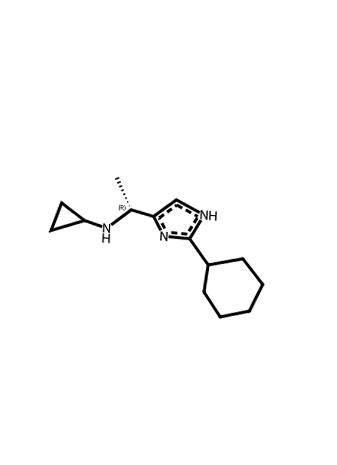 C[C@@H](NC1CC1)c1c[nH]c(C2CCCCC2)n1